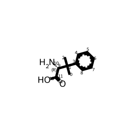 CC(C)(c1ccccc1)[C@@H](N)C(=O)O